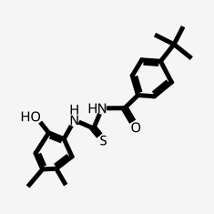 Cc1cc(O)c(NC(=S)NC(=O)c2ccc(C(C)(C)C)cc2)cc1C